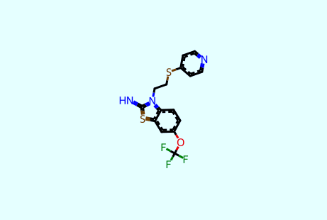 N=c1sc2cc(OC(F)(F)F)ccc2n1CCSc1ccncc1